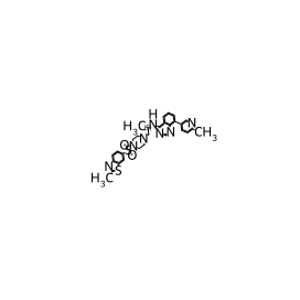 Cc1ccc(-c2cccc3c(N[C@@H](C)CN4CCN(S(=O)(=O)c5ccc6nc(C)sc6c5)CC4)ncnc23)cn1